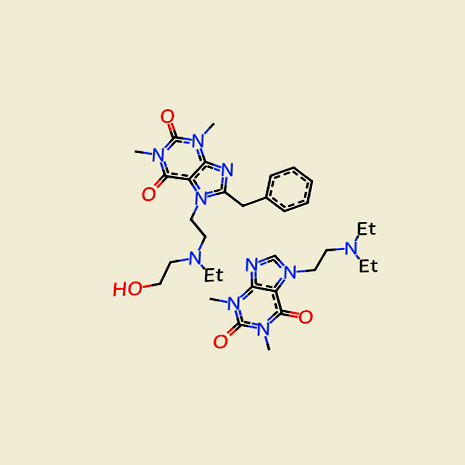 CCN(CC)CCn1cnc2c1c(=O)n(C)c(=O)n2C.CCN(CCO)CCn1c(Cc2ccccc2)nc2c1c(=O)n(C)c(=O)n2C